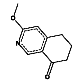 COc1cc2c(cn1)C(=O)CCC2